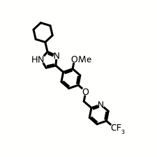 COc1cc(OCc2ccc(C(F)(F)F)cn2)ccc1-c1c[nH]c(C2CCCCC2)n1